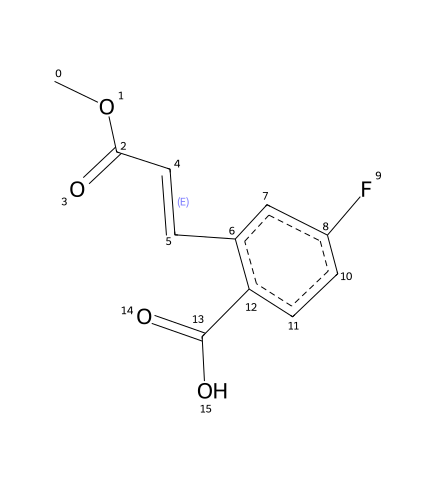 COC(=O)/C=C/c1cc(F)ccc1C(=O)O